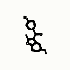 CCc1ccc2oc(C)c(C(=O)c3ccc(Br)cc3)c2c1